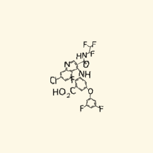 O=C(O)c1cc(Nc2c(C(=O)NC(F)C(F)F)cnc3cc(Cl)cc(F)c23)cc(Oc2cc(F)cc(F)c2)c1